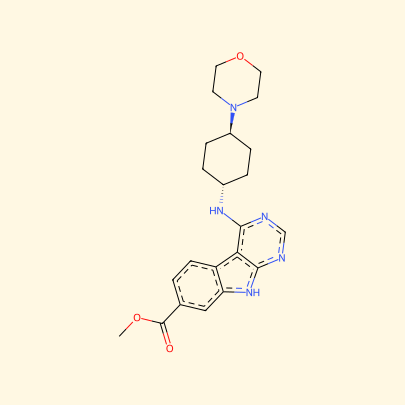 COC(=O)c1ccc2c(c1)[nH]c1ncnc(N[C@H]3CC[C@H](N4CCOCC4)CC3)c12